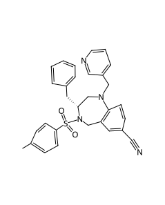 Cc1ccc(S(=O)(=O)N2Cc3cc(C#N)ccc3N(Cc3cccnc3)C[C@H]2Cc2ccccc2)cc1